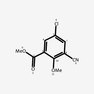 COC(=O)c1cc(Cl)cc(C#N)c1OC